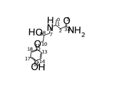 CC(CC(N)=O)NCC(O)COc1ccc(O)cc1